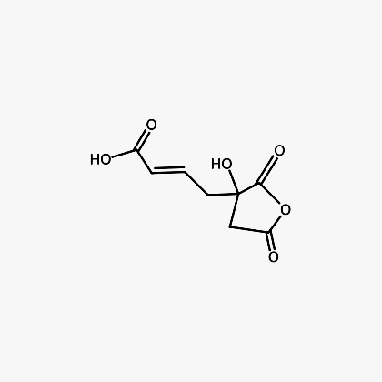 O=C(O)C=CCC1(O)CC(=O)OC1=O